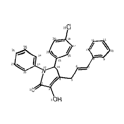 O=C1C(O)=C(C/C=C/c2ccccc2)C(c2ccc(Cl)cc2)N1c1ccccc1